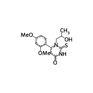 COc1ccc(-c2cc(=O)[nH]c(=S)n2CC(C)O)c(OC)c1